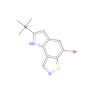 C[Si](C)(C)c1cc2cc(Br)c3sncc3c2[nH]1